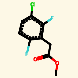 COC(=O)Cc1c(F)ccc(Cl)c1F